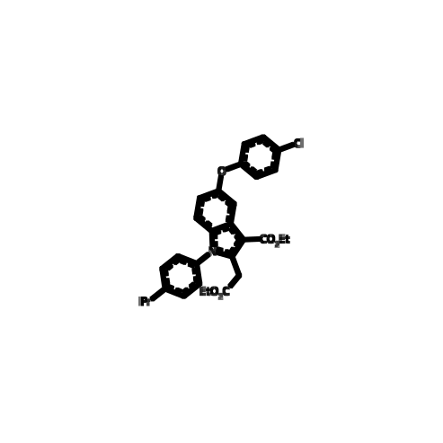 CCOC(=O)Cc1c(C(=O)OCC)c2cc(Oc3ccc(Cl)cc3)ccc2n1-c1ccc(C(C)C)cc1